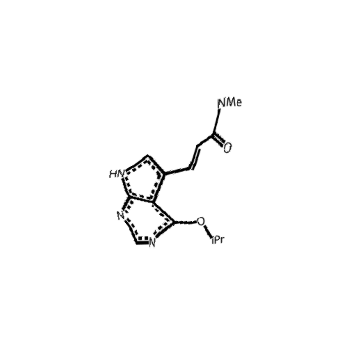 CNC(=O)C=Cc1c[nH]c2ncnc(OC(C)C)c12